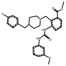 COC(=O)c1cccc(NC(=O)Nc2cccc(OC)c2)c1CN1CCC(Cc2ccc(F)cc2)CC1